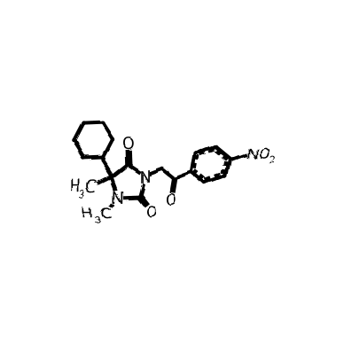 CN1C(=O)N(CC(=O)c2ccc([N+](=O)[O-])cc2)C(=O)C1(C)C1CCCCC1